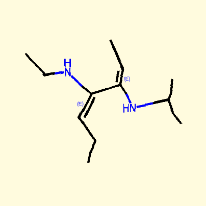 C/C=C(NC(C)C)\C(=C/CC)NCC